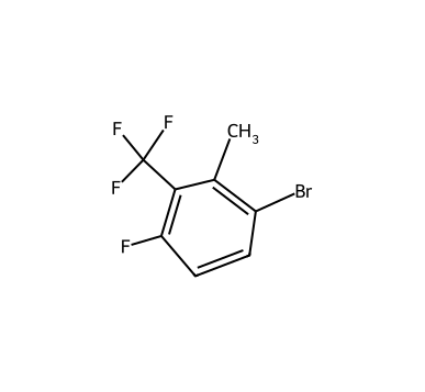 Cc1c(Br)ccc(F)c1C(F)(F)F